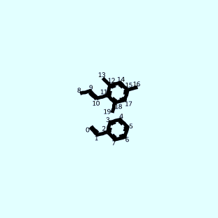 C=Cc1ccccc1.CC=Cc1c(C)cc(C)cc1C